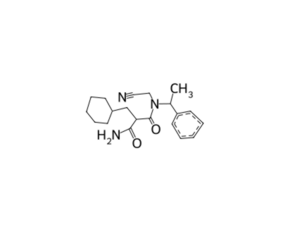 CC(c1ccccc1)N(CC#N)C(=O)C(CC1CCCCC1)C(N)=O